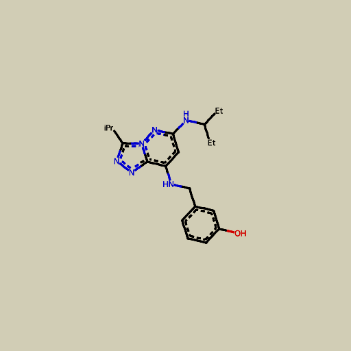 CCC(CC)Nc1cc(NCc2cccc(O)c2)c2nnc(C(C)C)n2n1